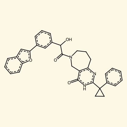 O=C(C(O)c1cccc(-c2cc3ccccc3o2)c1)N1CCCc2nc(C3(c4ccccc4)CC3)[nH]c(=O)c2C1